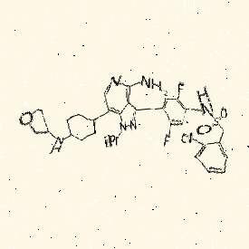 CC(C)n1nc(-c2cc(F)c(NS(=O)(=O)Cc3ccccc3Cl)cc2F)c2c(N)ncc(C3CCC(NC4COC4)CC3)c21